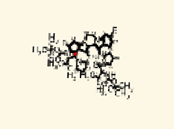 CC(C)[C@H](NC(=O)OC(C)(C)C)C(=O)N1CCC[C@H]1Cc1c2n(c3cc(F)ccc13)CCn1c-2c(C[C@@H]2CCCN2C(=O)[C@@H](NC(=O)OC(C)(C)C)C(C)C)c2ccc(F)cc21